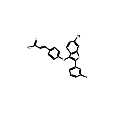 O=C(O)C=Cc1ccc(Oc2c(-c3cccc(F)c3)sc3cc(O)ccc23)cc1